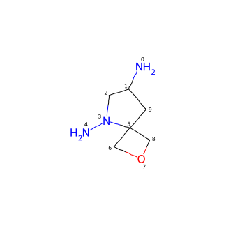 NC1CN(N)C2(COC2)C1